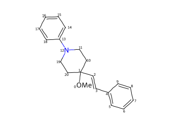 COC1(C=Cc2ccccc2)CCN(c2cc[c]cc2)CC1